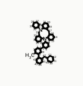 Cc1ccc(-c2cccc(N3c4ccccc4Cc4ccccc4N(c4ccccc4)Cc4ccccc43)c2)cc1-c1ccccc1CC1C=CC=CC1